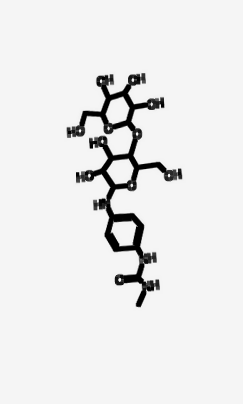 CNC(=O)Nc1ccc(NC2OC(CO)C(OC3OC(CO)C(O)C(O)C3O)C(O)C2O)cc1